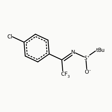 CC(C)(C)[S+]([O-])N=C(c1ccc(Cl)cc1)C(F)(F)F